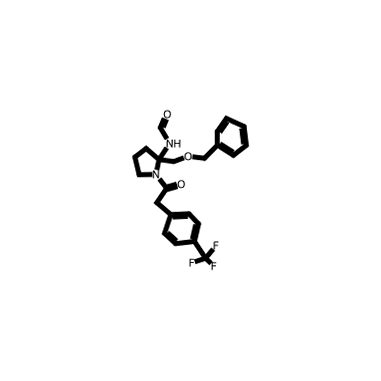 O=CNC1(COCc2ccccc2)CCCN1C(=O)Cc1ccc(C(F)(F)F)cc1